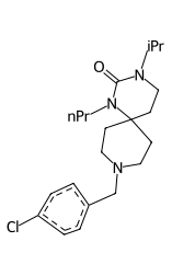 CCCN1C(=O)N(C(C)C)CCC12CCN(Cc1ccc(Cl)cc1)CC2